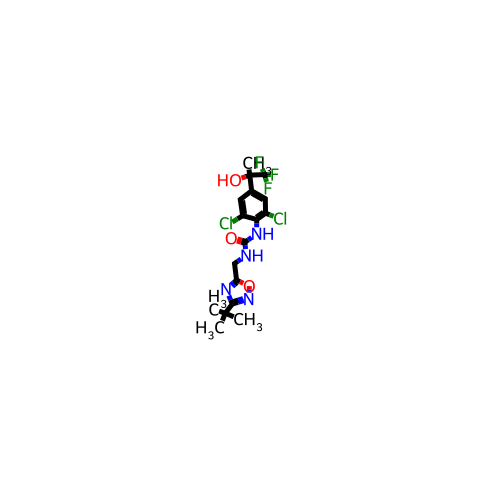 CC(C)(C)c1noc(CNC(=O)Nc2c(Cl)cc(C(C)(O)C(F)(F)F)cc2Cl)n1